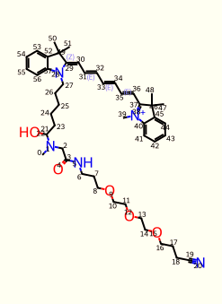 CN(CC(=O)NCCCOCCOCCOCCCC#N)C(O)CCCCCN1\C(=C/C=C/C=C/C=C/C2=[N+](C)c3ccccc3C2(C)C)C(C)(C)c2ccccc21